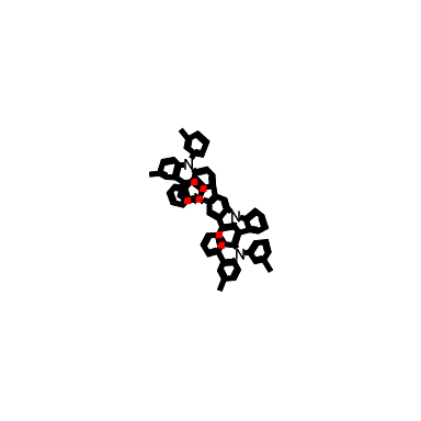 Cc1cccc(N(c2ccc(C)cc2-c2ccccc2)c2ccc3c4cc5c(cc4n4c6ccccc6c2c34)c2ccc(N(c3cccc(C)c3)c3ccc(C)cc3-c3ccccc3)c3c4ccccc4n5c23)c1